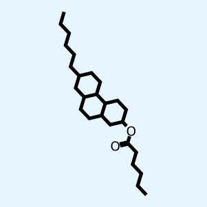 CCCCCCC1CCC2C(CCC3CC(OC(=O)CCCCC)CCC32)C1